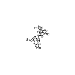 CC(C)(C)OC(=O)C(Cc1ccc(F)cc1F)NC(=O)CCC(=O)N(Cl)c1cc(Cl)ccc1-n1cc(Cl)nn1